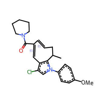 COc1ccc(-n2cc(Cl)c3c2C(C)C/C=C/C(C(=O)N2CCCCC2)=C\3)cc1